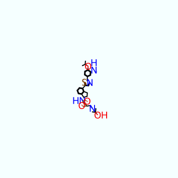 CNc1cc(-c2ncc(-c3cccc4c3CC[C@@H]4NS(=O)(=O)CCN3CC(O)C3)s2)ccc1OC(C)C